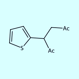 CC(=O)CC(C(C)=O)c1cccs1